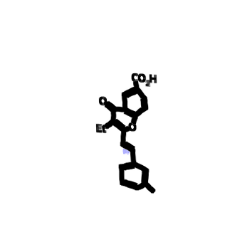 CCc1c(/C=C/c2cccc(C)c2)oc2ccc(C(=O)O)cc2c1=O